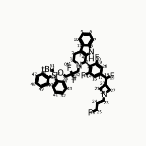 C[C@@H]1Cc2c([nH]c3ccccc23)[C@@H](c2c(F)cc(C(F)C3CN(CCCF)C3)cc2F)N1CC(F)(F)CO[Si](c1ccccc1)(c1ccccc1)C(C)(C)C